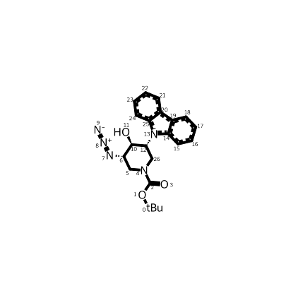 CC(C)(C)OC(=O)N1C[C@H](N=[N+]=[N-])[C@@H](O)[C@H](n2c3ccccc3c3ccccc32)C1